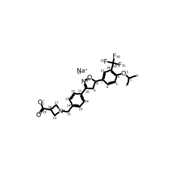 CC(C)Oc1ccc(C2CC(c3ccc(CN4CC(C(=O)[O-])C4)cc3)=NO2)cc1C(F)(F)F.[Na+]